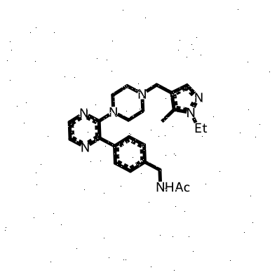 CCn1ncc(CN2CCN(c3nccnc3-c3ccc(CNC(C)=O)cc3)CC2)c1C